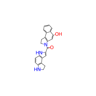 O=C(c1cc2c3c(ccc2[nH]1)NCC3)N1CCc2c1cc(O)c1ccccc21